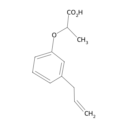 C=CCc1cccc(OC(C)C(=O)O)c1